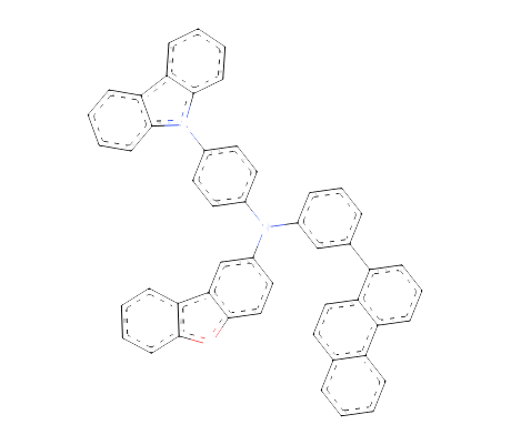 c1cc(-c2cccc3c2ccc2ccccc23)cc(N(c2ccc(-n3c4ccccc4c4ccccc43)cc2)c2ccc3oc4ccccc4c3c2)c1